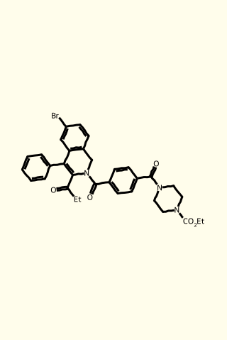 CCOC(=O)N1CCN(C(=O)c2ccc(C(=O)N3Cc4ccc(Br)cc4C(c4ccccc4)=C3C(=O)CC)cc2)CC1